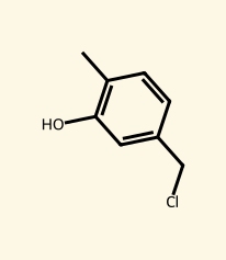 Cc1ccc(CCl)cc1O